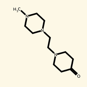 CN1CCN(CCN2CCC(=O)CC2)CC1